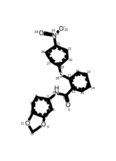 O=C(Nc1ccc2c(c1)OCO2)c1ccccc1Sc1ccc([N+](=O)[O-])cc1